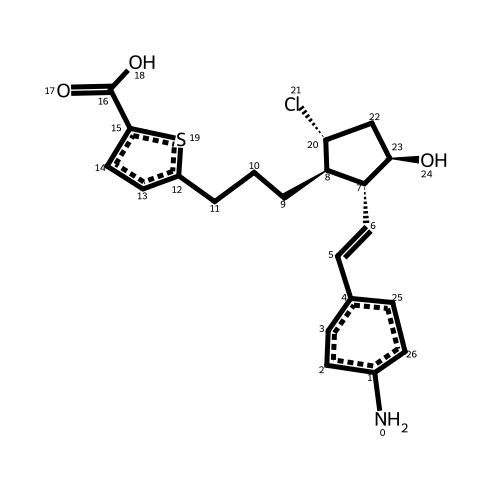 Nc1ccc(/C=C/[C@@H]2[C@@H](CCCc3ccc(C(=O)O)s3)[C@H](Cl)C[C@H]2O)cc1